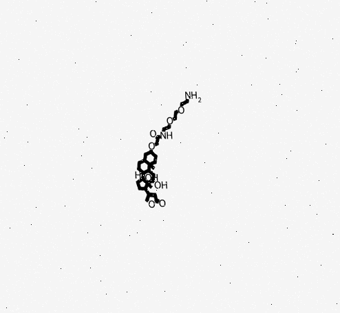 CC12CCC(OCC(=O)NCCOCCOCCN)CC1CC[C@H]1C2CC(O)C2(C)C(C3=CC(=O)OC3)CCC12O